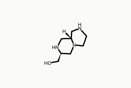 OC[C@@H]1CN2CCNC[C@H]2CN1